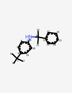 CC(C)(C)c1ccc(NC(C)(C)c2ccccc2)cc1